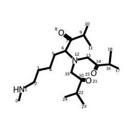 CNCCCCC(C(=O)C(C)C)N(CC(=O)C(C)C)CC(=O)C(C)C